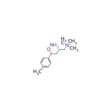 Cc1ccc(C(CCC[N+](C)(C)C)ON)cc1